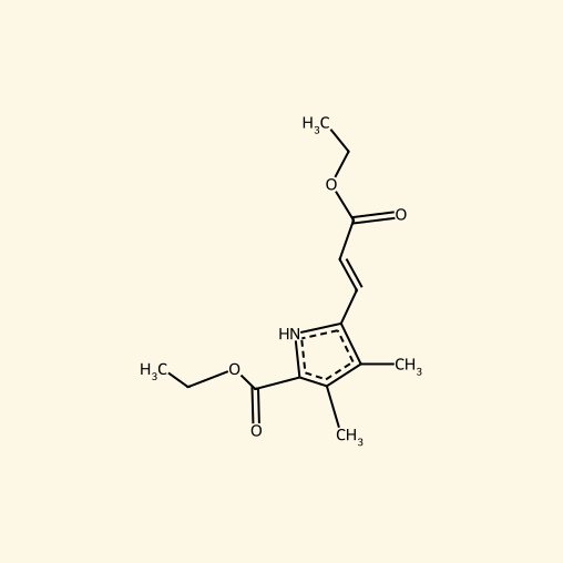 CCOC(=O)C=Cc1[nH]c(C(=O)OCC)c(C)c1C